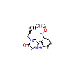 C#CCN1CCNCC1=O.O=COCc1ccccc1